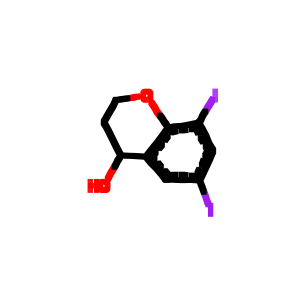 OC1CCOc2c(I)cc(I)cc21